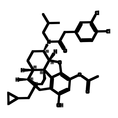 CC(=O)Oc1cc(O)c2c3c1O[C@H]1[C@@H](N(CC(C)C)C(=O)Cc4ccc(Cl)c(Cl)c4)CC[C@H]4[C@@H](C2)N(CC2CC2)CC[C@@]341